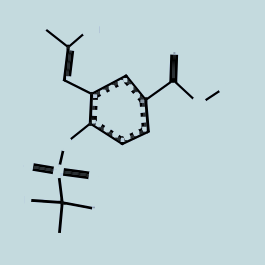 COC(=O)c1ccc(OS(=O)(=O)C(F)(F)F)c(C=C(C)C)c1